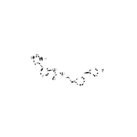 Cn1nnnc1-c1cccc(NC(=O)NCCCN2CCC[C@@H](Cc3ccc(F)cc3)C2)c1